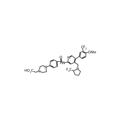 COc1ccc(-c2cnc(NC(=O)c3ccc(N4CCN(CC(=O)O)CC4)cc3)cc2CN2CCCC2C(F)(F)F)cc1C(F)(F)F